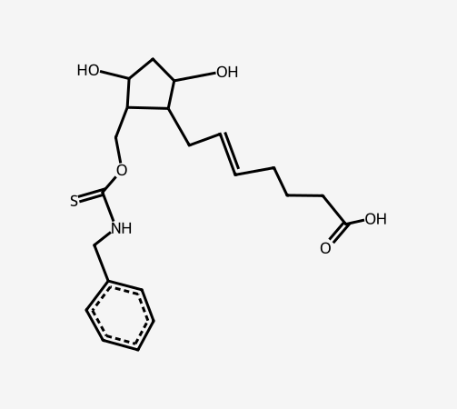 O=C(O)CCC/C=C/CC1C(O)CC(O)C1COC(=S)NCc1ccccc1